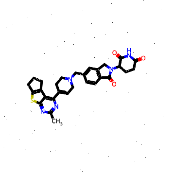 Cc1nc(C2=CCN(Cc3ccc4c(c3)CN(C3CCC(=O)NC3=O)C4=O)CC2)c2c3c(sc2n1)CCC3